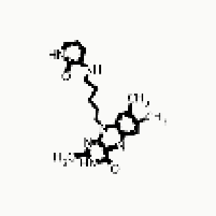 C=c1nc2c(c(=O)[nH]1)=Nc1cc(C)c(C)cc1N2CCCCCNc1ccc[nH]c1=O